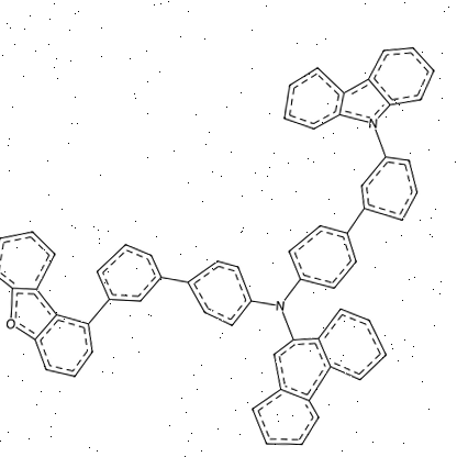 c1cc(-c2ccc(N(c3ccc(-c4cccc(-n5c6ccccc6c6ccccc65)c4)cc3)c3cc4ccccc4c4ccccc34)cc2)cc(-c2cccc3oc4ccccc4c23)c1